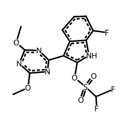 COc1nc(OC)nc(-c2c(OS(=O)(=O)C(F)F)[nH]c3c(F)cccc23)n1